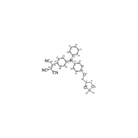 CC1(C)OCC(COc2ccc(N(c3ccccc3)c3ccc(C(C#N)=C(C#N)C#N)cc3)cc2)O1